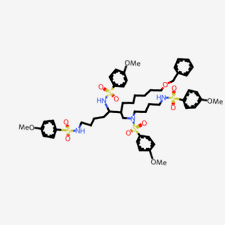 COc1ccc(S(=O)(=O)NCCCCC(NS(=O)(=O)c2ccc(OC)cc2)C(CCCCCCOCc2ccccc2)CN(CCCCNS(=O)(=O)c2ccc(OC)cc2)S(=O)(=O)c2ccc(OC)cc2)cc1